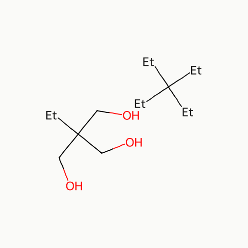 CCC(CC)(CC)CC.CCC(CO)(CO)CO